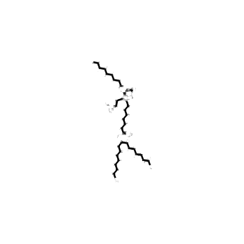 CCCCCCCCCOP(=O)(NCCCN(C)C)OCCCCCCCC(=O)OC(CCCCCCCC)CCCCCCCC